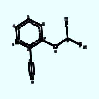 N#Cc1ncccc1OC(F)F